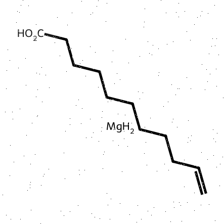 C=CCCCCCCCCC(=O)O.[MgH2]